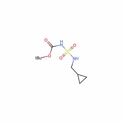 CC(C)(C)OC(=O)NS(=O)(=O)NCC1CC1